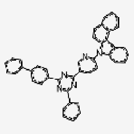 c1ccc(-c2ccc(-c3nc(-c4ccccc4)nc(-c4ccc(-n5c6ccccc6c6c7ccccc7ccc65)nc4)n3)cc2)cc1